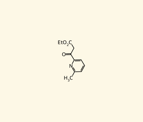 CCOC(=O)CC(=O)c1cccc(C)n1